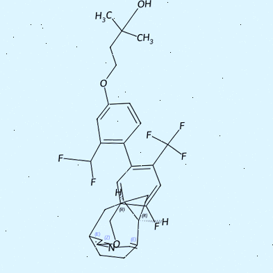 CC(C)(O)CCOc1ccc(-c2cc(COC3=N\C=C4/CC/C(=C\3)C[C@H]3C[C@@H]43)c(F)cc2C(F)(F)F)c(C(F)F)c1